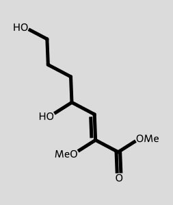 COC(=O)C(=CC(O)CCCO)OC